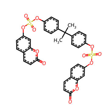 CC(C)(c1ccc(OS(=O)(=O)Oc2ccc3ccc(=O)oc3c2)cc1)c1ccc(OS(=O)(=O)Oc2ccc3ccc(=O)oc3c2)cc1